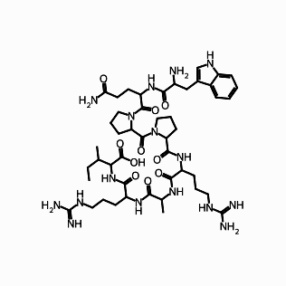 CCC(C)C(NC(=O)C(CCCNC(=N)N)NC(=O)C(C)NC(=O)C(CCCNC(=N)N)NC(=O)C1CCCN1C(=O)C1CCCN1C(=O)C(CCC(N)=O)NC(=O)C(N)Cc1c[nH]c2ccccc12)C(=O)O